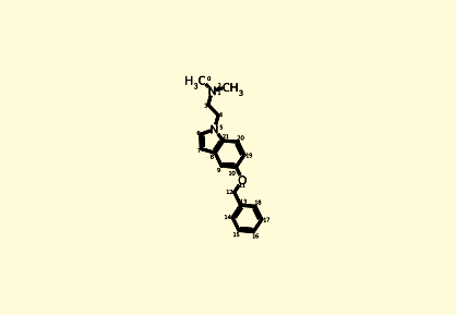 CN(C)CCn1ccc2cc(OCc3ccccc3)ccc21